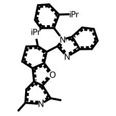 Cc1cc2c(oc3c(-c4nc5ccccc5n4-c4c(C(C)C)cccc4C(C)C)c(C)ccc32)c(C)n1